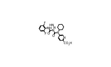 N=NN(C(=O)Nc1c(F)cccc1F)C(=O)N(c1ccc(C(=O)O)nc1)C1CCCCC1